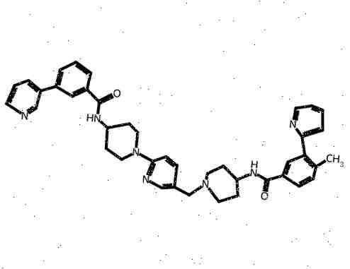 Cc1ccc(C(=O)NC2CCN(Cc3ccc(N4CCC(NC(=O)c5cccc(-c6cccnc6)c5)CC4)nc3)CC2)cc1-c1ccccn1